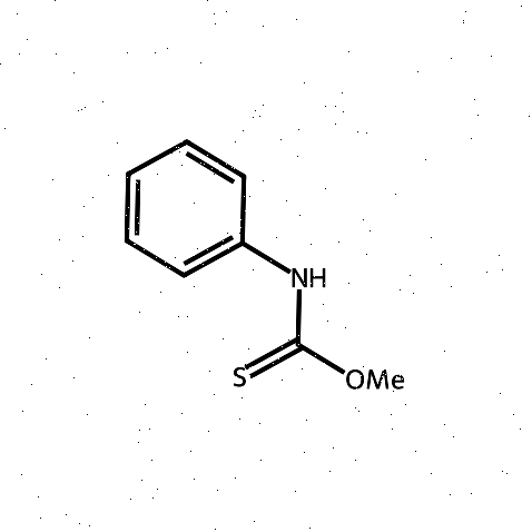 [CH2]OC(=S)Nc1ccccc1